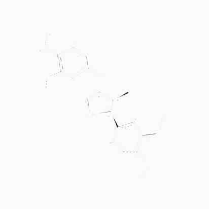 [CH2][C@@H]1[C@@H](Cc2ccc(OC)c(OC)c2)CO[C@@H]1c1ccc(OC)c(OC)c1